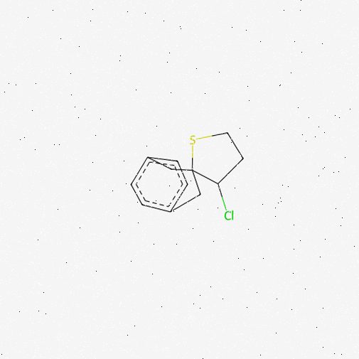 ClC1CCSC12Cc1ccc(cc1)C2